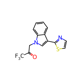 O=C(Cn1cc(-c2nccs2)c2ccccc21)C(F)(F)F